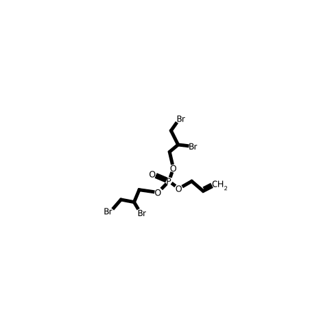 C=CCOP(=O)(OCC(Br)CBr)OCC(Br)CBr